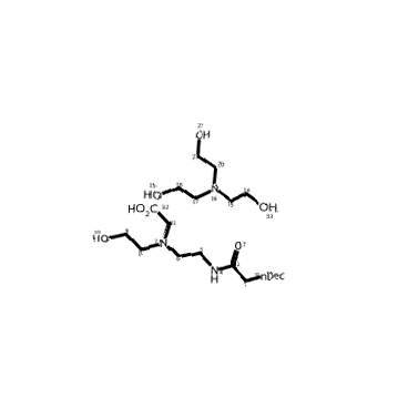 CCCCCCCCCCCC(=O)NCCN(CCO)CC(=O)O.OCCN(CCO)CCO